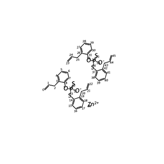 C=CCc1ccccc1OP([O-])(=S)Sc1ccccc1CC=C.C=CCc1ccccc1OP([O-])(=S)Sc1ccccc1CC=C.[Zn+2]